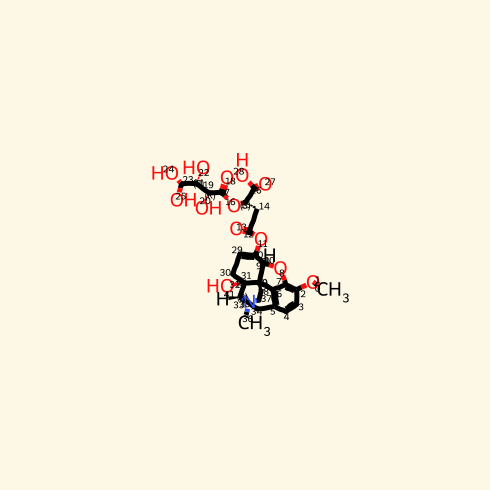 COc1ccc2c3c1O[C@H]1C(OC(=O)C[C@H](OC(=O)[C@H](O)[C@@H](O)C(O)O)C(=O)O)=CC[C@@]4(O)[C@@H](C2)N(C)CC[C@]314